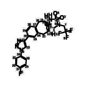 O=S1(=O)N[C@@]2(CN1CC(F)(F)F)[C@@H]1CC[C@H]2Cc2ccc(-c3cn(-c4ccc(F)cc4)nn3)cc2C1